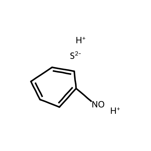 O=Nc1ccccc1.[H+].[H+].[S-2]